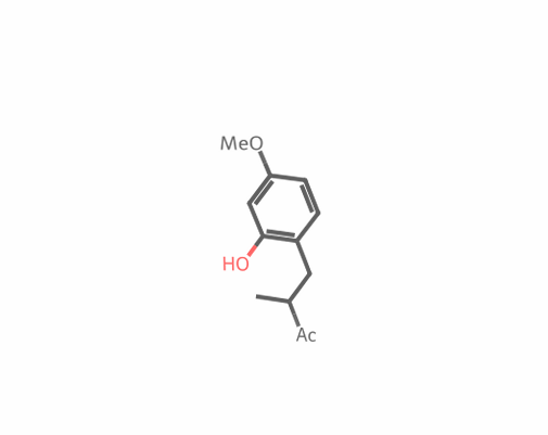 COc1ccc(CC(C)C(C)=O)c(O)c1